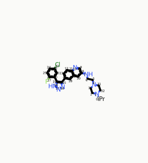 CC(C)N1CCN(CCNc2cnc3ccc(-c4nn[nH]c4-c4cc(Cl)ccc4F)cc3c2)CC1